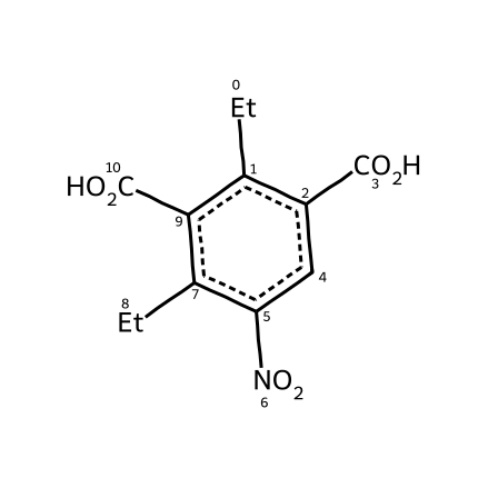 CCc1c(C(=O)O)cc([N+](=O)[O-])c(CC)c1C(=O)O